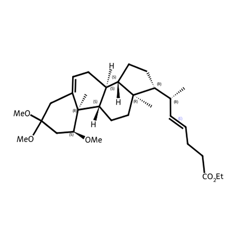 CCOC(=O)CC/C=C/[C@@H](C)[C@H]1CC[C@H]2[C@@H]3CC=C4CC(OC)(OC)C[C@H](OC)[C@]4(C)[C@H]3CC[C@]12C